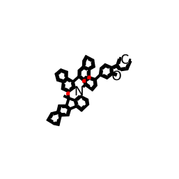 CC1(C)c2cc3ccccc3cc2-c2cccc(N(c3ccc(-c4ccc5c(c4)oc4ccccc45)cc3)c3ccc4ccccc4c3-c3ccc4ccccc4c3)c21